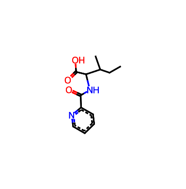 CCC(C)C(NC(=O)c1ccccn1)C(=O)O